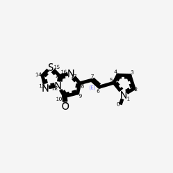 Cn1cccc1/C=C/c1cc(=O)n2ncsc2n1